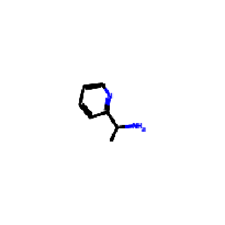 CC(N)c1ccc[c]n1